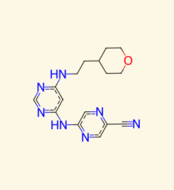 N#Cc1cnc(Nc2cc(NCCC3CCOCC3)ncn2)cn1